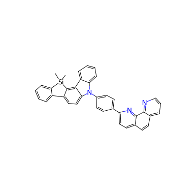 C[Si]1(C)c2ccccc2-c2ccc3c(c21)c1ccccc1n3-c1ccc(-c2ccc3ccc4cccnc4c3n2)cc1